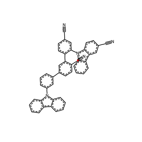 N#Cc1ccc(-c2cc(-c3cccc(-n4c5ccccc5c5ccccc54)c3)ccc2C#N)c(-n2c3ccccc3c3cc(C#N)ccc32)c1